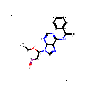 C=C(NC1=NC=NC2C1N=CN2C(CP=O)OCC)c1ccccc1